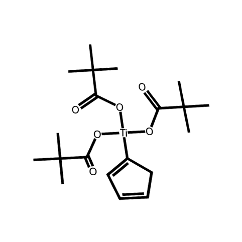 CC(C)(C)C(=O)[O][Ti]([O]C(=O)C(C)(C)C)([O]C(=O)C(C)(C)C)[C]1=CC=CC1